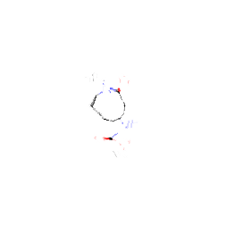 CCCCN1CCC[C@H](NC(=O)OC(C)(C)C)CC1=O